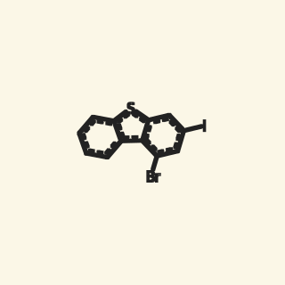 Brc1cc(I)cc2sc3ccccc3c12